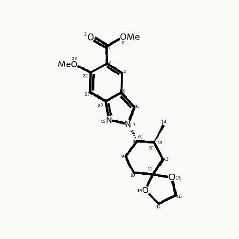 COC(=O)c1cc2cn([C@H]3CCC4(C[C@@H]3C)OCCO4)nc2cc1OC